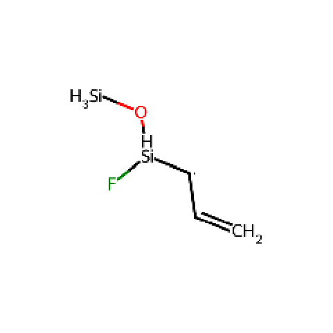 C=C[CH][SiH](F)O[SiH3]